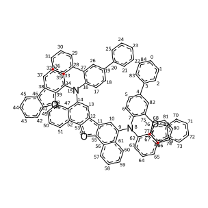 c1ccc(-c2ccc(N(c3cc4c5cc(N(c6ccc(-c7ccccc7)cc6-c6ccccc6)c6cccc7c6oc6ccccc67)c6ccccc6c5oc4c4ccccc34)c3cccc4c3oc3ccccc34)c(-c3ccccc3)c2)cc1